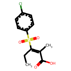 CC/C(=C(/C)C(=O)O)S(=O)(=O)c1ccc(Cl)cc1